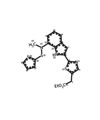 CCOC(=O)Cc1cnc(-c2cc3cccc(N(C)Sc4cccs4)c3[nH]2)s1